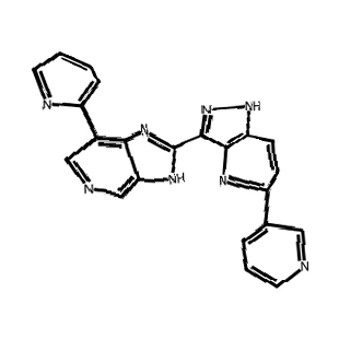 c1ccc(-c2cncc3[nH]c(-c4n[nH]c5ccc(-c6cccnc6)nc45)nc23)nc1